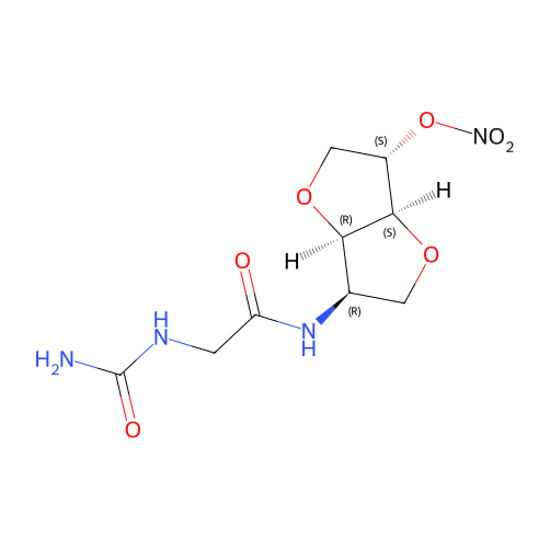 NC(=O)NCC(=O)N[C@@H]1CO[C@H]2[C@@H]1OC[C@@H]2O[N+](=O)[O-]